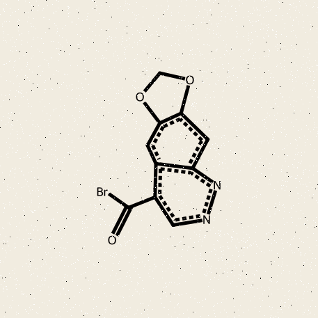 O=C(Br)c1cnnc2cc3c(cc12)OCO3